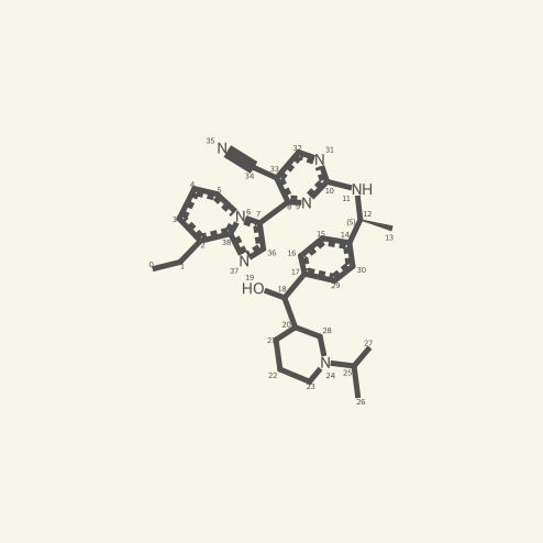 CCc1cccn2c(-c3nc(N[C@@H](C)c4ccc(C(O)C5CCCN(C(C)C)C5)cc4)ncc3C#N)cnc12